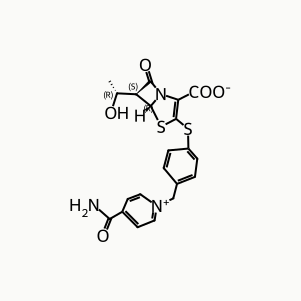 C[C@@H](O)[C@H]1C(=O)N2C(C(=O)[O-])=C(Sc3ccc(C[n+]4ccc(C(N)=O)cc4)cc3)S[C@H]12